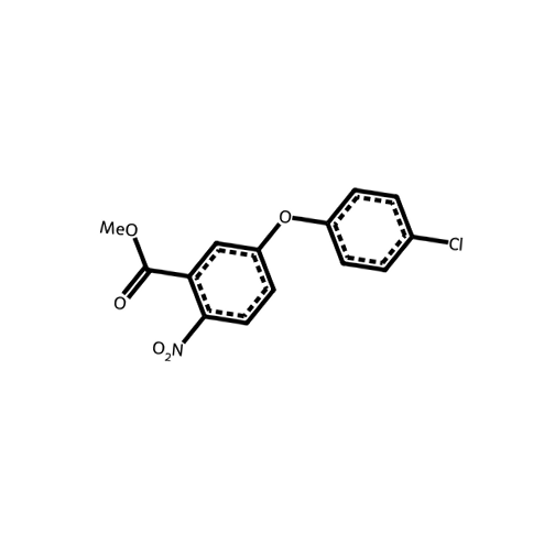 COC(=O)c1cc(Oc2ccc(Cl)cc2)ccc1[N+](=O)[O-]